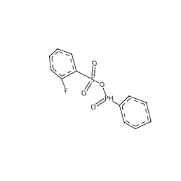 O=[PH](OS(=O)(=O)c1c[c]ccc1F)c1ccccc1